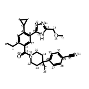 CCc1cc(C2CC2)c(-c2nnc(COC)[nH]2)cc1C(=O)N1CCC(F)(c2ccc(C#N)cc2)CC1